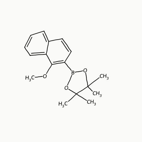 COc1c(B2OC(C)(C)C(C)(C)O2)ccc2ccccc12